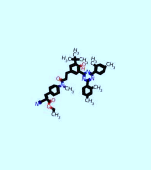 CCOC(=O)/C(C#N)=C\c1ccc(N(C)C(=O)CCc2cc(-c3nc(-c4ccc(C)cc4C)nc(-c4ccc(C)cc4C)n3)c(O)c(C(C)(C)C)c2)cc1